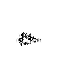 CC[C@H](c1ccc(Nc2ncc(F)c(-c3cc(F)c4nc(C)n(C(C)C)c4c3)n2)nc1)N1CCN(CC)CC1=O